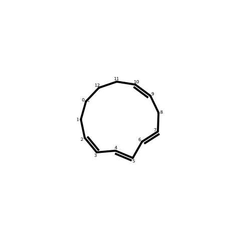 [CH]1C\C=C/C=C/C=C/C/C=C\CC1